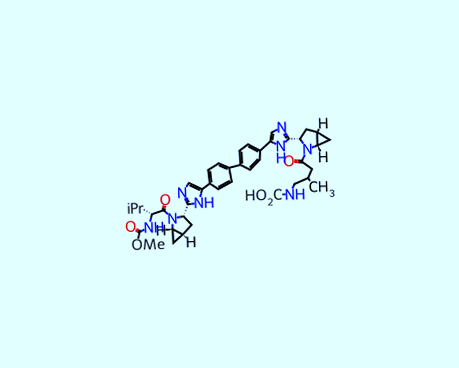 COC(=O)N[C@@H](C(=O)N1[C@H](c2ncc(-c3ccc(-c4ccc(-c5cnc([C@@H]6C[C@@H]7C[C@@H]7N6C(=O)CC(C)CNC(=O)O)[nH]5)cc4)cc3)[nH]2)C[C@H]2C[C@@H]21)C(C)C